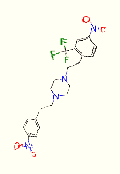 O=[N+]([O-])c1ccc(CCN2CCN(CCc3ccc([N+](=O)[O-])cc3C(F)(F)F)CC2)cc1